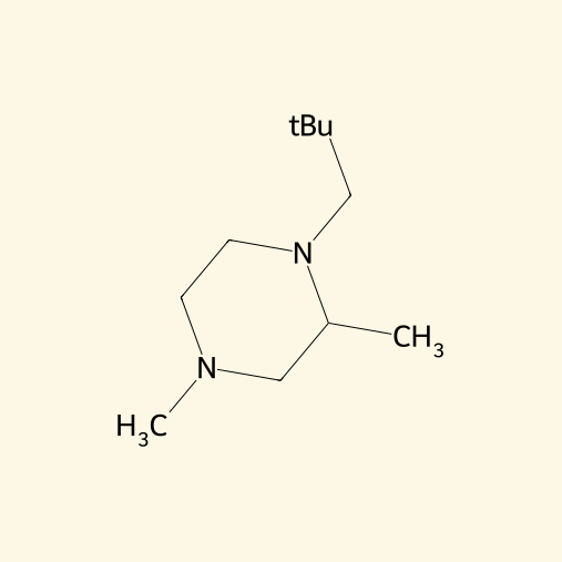 CC1CN(C)CCN1CC(C)(C)C